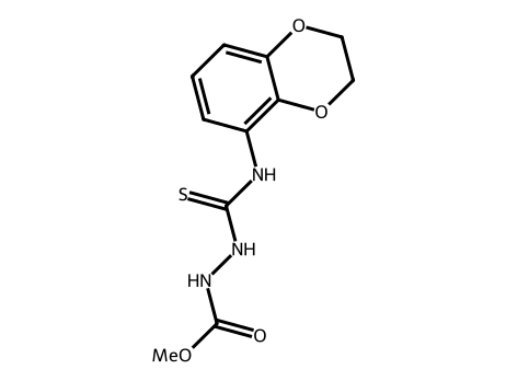 COC(=O)NNC(=S)Nc1cccc2c1OCCO2